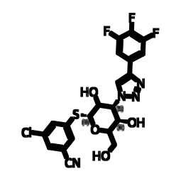 N#Cc1cc(Cl)cc(S[C@H]2OC(CO)[C@H](O)[C@H](n3cc(-c4cc(F)c(F)c(F)c4)nn3)C2O)c1